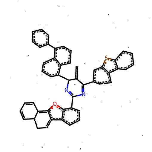 C=C1C(c2ccc3c(c2)sc2ccccc23)=NC(c2cccc3c4c(oc23)=C2C=CC=CC2CC=4)=NC1c1cccc2c(-c3ccccc3)cccc12